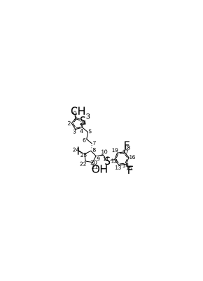 Cc1ccc(CCC[C@@H]2[C@@H](CSc3cc(F)cc(F)c3)[C@H](O)C[C@H]2I)s1